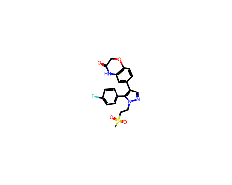 CS(=O)(=O)CCn1ncc(-c2ccc3c(c2)NC(=O)CO3)c1-c1ccc(F)cc1